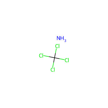 ClC(Cl)(Cl)Cl.N